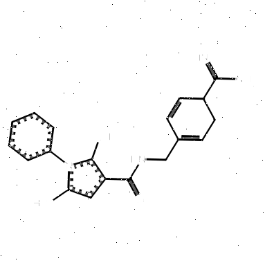 Cc1cc(C(=O)NCC2=CCC(C(=N)N)C=C2)c(C)n1-c1ccccc1